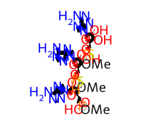 CO[C@H]1[C@@H](O[PH](=S)OC[C@H]2O[C@@H](n3cnc4c(N)ncnc43)[C@H](O[P@](O)(=S)OC[C@H]3O[C@@H](n4cnc5c(N)ncnc54)[C@H](O)[C@@H]3O)[C@@H]2OC)[C@H](n2cnc3c(N)ncnc32)O[C@@H]1CCP(=O)(O)OC